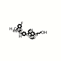 C[C@H](NC(=O)Nc1ccc(Oc2ccnc3cc(OCCCO)c4c(c23)OCCO4)cc1)c1ccc(F)cc1